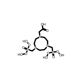 O=C(O)CN1CCN(CP(=O)(OO)OO)CCN(CP(=O)(OO)OO)CC1